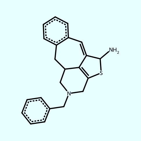 NC1SC2=C3C1=Cc1ccccc1CC3CN(Cc1ccccc1)C2